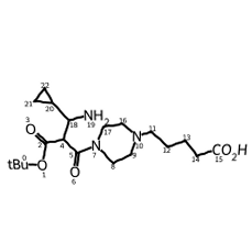 CC(C)(C)OC(=O)C(C(=O)N1CCN(CCCCC(=O)O)CC1)C(N)C1CC1